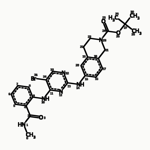 CNC(=O)c1ccccc1Nc1nc(Nc2ccc3c(c2)CCN(C(=O)OC(C)(C)C)C3)ncc1Br